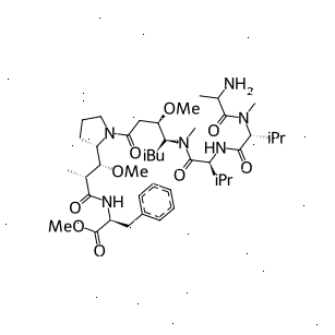 CC[C@H](C)[C@@H]([C@@H](CC(=O)N1CCC[C@H]1[C@H](OC)[C@@H](C)C(=O)N[C@@H](Cc1ccccc1)C(=O)OC)OC)N(C)C(=O)[C@@H](NC(=O)[C@@H](C(C)C)N(C)C(=O)C(C)N)C(C)C